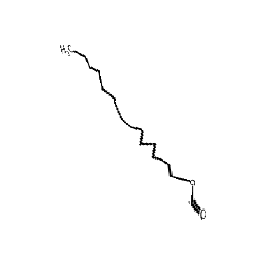 CCCCCCCCCCCCCO[C]=O